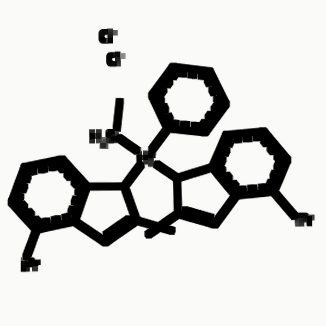 C[SiH2][Hf]([c]1ccccc1)([CH]1C(C)=Cc2c(C(C)C)cccc21)[CH]1C(C)=Cc2c(C(C)C)cccc21.[Cl-].[Cl-]